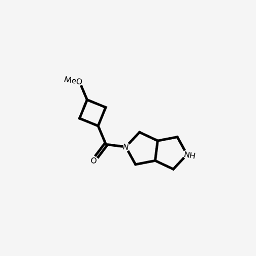 COC1CC(C(=O)N2CC3CNCC3C2)C1